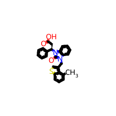 Cc1cccc2scc(Cn3c(=O)n([C@H](CC(=O)O)c4ccccc4)c4ccccc43)c12